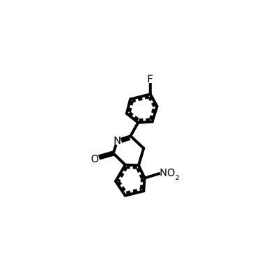 O=C1N=C(c2ccc(F)cc2)Cc2c1cccc2[N+](=O)[O-]